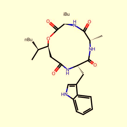 CCCC[C@H](C)[C@@H]1CC(=O)N[C@@H](Cc2c[nH]c3ccccc23)C(=O)N[C@@H](C)C(=O)N[C@H]([C@H](C)CC)C(=O)O1